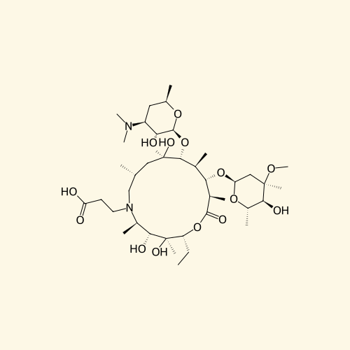 CC[C@H]1OC(=O)[C@H](C)[C@@H](O[C@H]2C[C@@](C)(OC)[C@@H](O)[C@H](C)O2)[C@H](C)[C@@H](O[C@@H]2O[C@H](C)C[C@H](N(C)C)[C@H]2O)[C@](C)(O)C[C@@H](C)CN(CCC(=O)O)[C@H](C)[C@@H](O)[C@]1(C)O